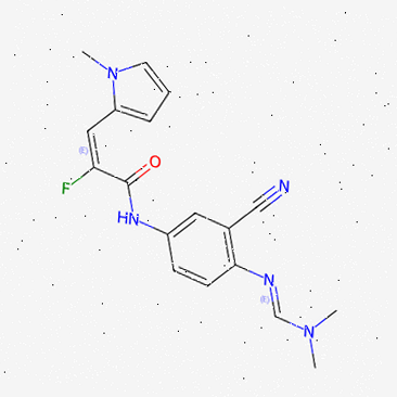 CN(C)/C=N/c1ccc(NC(=O)/C(F)=C\c2cccn2C)cc1C#N